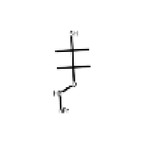 CCCBOC(C)(C)C(C)(C)S